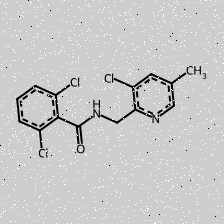 Cc1cnc(CNC(=O)c2c(Cl)cccc2Cl)c(Cl)c1